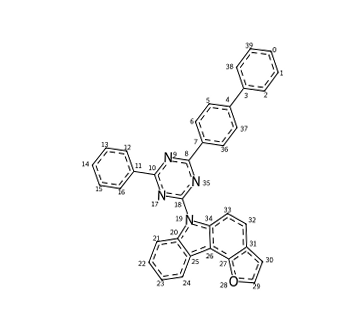 c1ccc(-c2ccc(-c3nc(-c4ccccc4)nc(-n4c5ccccc5c5c6occc6ccc54)n3)cc2)cc1